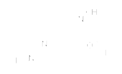 CN(CCC(=O)CI)Cc1ccc(N2CCN(CI)CC2)cc1